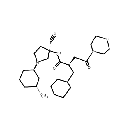 C[C@@H]1CCC[C@@H](N2CC[C@@](C#N)(NC(=O)[C@@H](CC(=O)N3CCOCC3)CC3CCCCC3)C2)C1